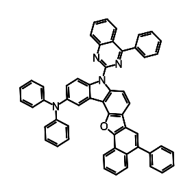 c1ccc(-c2nc(-n3c4ccc(N(c5ccccc5)c5ccccc5)cc4c4c5oc6c7ccccc7c(-c7ccccc7)cc6c5ccc43)nc3ccccc23)cc1